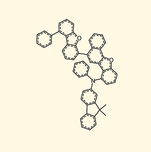 CC1(C)c2ccccc2-c2ccc(N(c3ccccc3)c3cccc4oc5c6ccccc6c(-c6cccc7c6oc6cccc(-c8ccccc8)c67)cc5c34)cc21